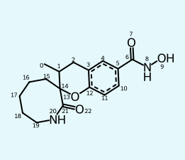 CC1Cc2cc(C(=O)NO)ccc2OC12CCCCCNC2=O